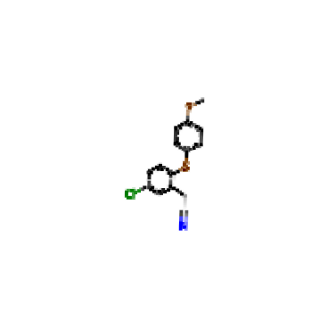 CSc1ccc(Sc2ccc(Cl)cc2CC#N)cc1